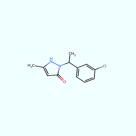 Cc1cc(=O)n(C(C)c2cccc(Cl)c2)[nH]1